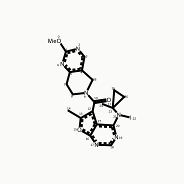 COc1ncc2c(n1)CCN(C(=O)c1c(C)oc3ncnc(N(I)C4(C)CC4)c13)C2